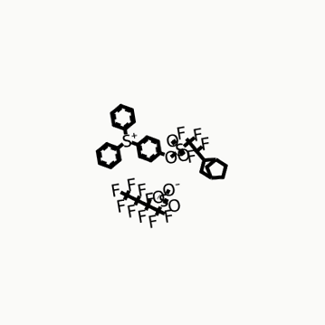 O=S(=O)(Oc1ccc([S+](c2ccccc2)c2ccccc2)cc1)C(F)(F)C(F)(F)C1CC2CCC1C2.O=S(=O)([O-])C(F)(F)C(F)(F)C(F)(F)C(F)(F)F